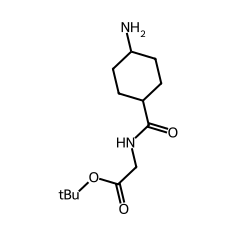 CC(C)(C)OC(=O)CNC(=O)C1CCC(N)CC1